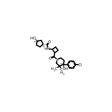 CC1(C)CN(C(=O)C2CCC2NC(=O)[C@@H]2CC[C@@H](O)C2)CC[C@]1(O)c1ccc(Cl)cc1